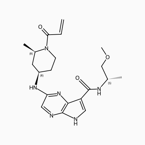 C=CC(=O)N1CC[C@@H](Nc2cnc3[nH]cc(C(=O)N[C@@H](C)COC)c3n2)C[C@H]1C